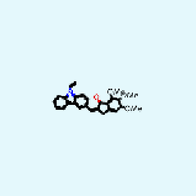 C=Cn1c2ccccc2c2cc(/C=C3/CC4=CC(OC)C(OC)C(OC)=C4C3=O)ccc21